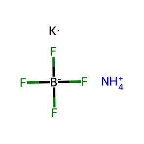 F[B-](F)(F)F.[K].[NH4+]